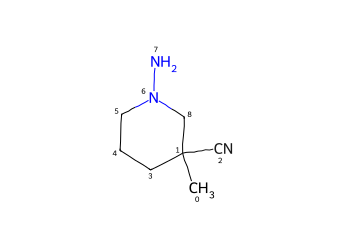 CC1(C#N)CCCN(N)C1